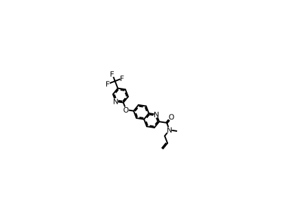 C=CCN(C)C(=O)c1ccc2cc(Oc3ccc(C(F)(F)F)cn3)ccc2n1